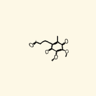 COC1=C(OC)C(=O)C(CC[C]=O)=C(C)C1=O